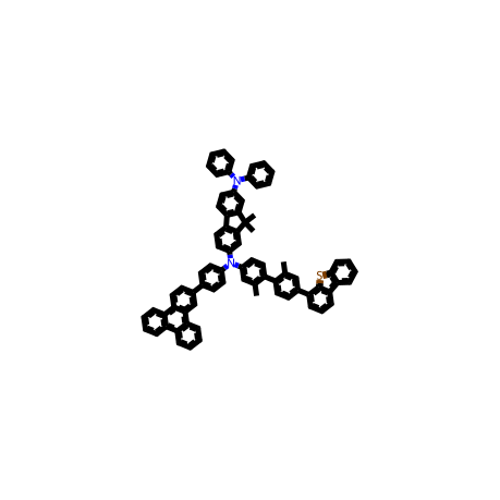 Cc1cc(-c2cccc3c2sc2ccccc23)ccc1-c1ccc(N(c2ccc(-c3ccc4c5ccccc5c5ccccc5c4c3)cc2)c2ccc3c(c2)C(C)(C)c2cc(N(c4ccccc4)c4ccccc4)ccc2-3)cc1C